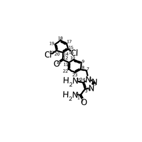 NC(=O)c1nnn(Cc2ccc(C(=O)c3c(Cl)cccc3Cl)cc2)c1N